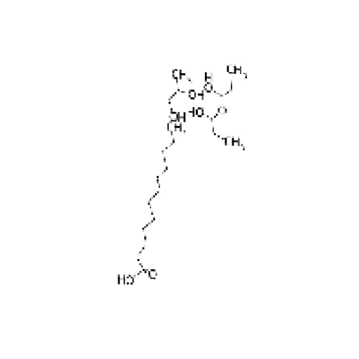 CC(O)CO.CCC(O)OC(O)CC.CCCCCCCCCCCC(=O)O